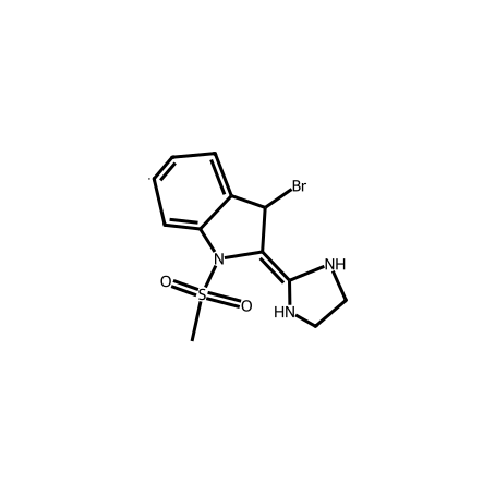 CS(=O)(=O)N1C(=C2NCCN2)C(Br)c2cc[c]cc21